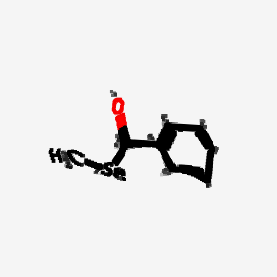 C[Se]C(=O)c1ccccc1